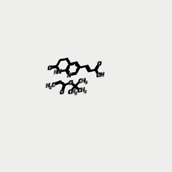 C=CC(=O)OC(C)(C)C.O=C(O)C=Cc1cnc2c(c1)CCC(=O)N2